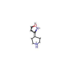 c1cc(C2CCNCC2)no1